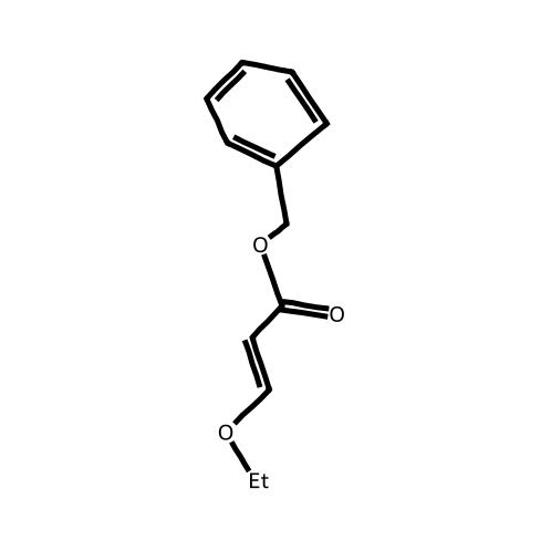 CCOC=CC(=O)OCc1ccccc1